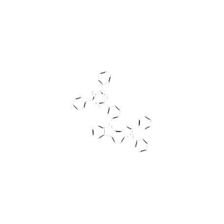 c1ccc(-c2nc(-c3ccccc3)nc(-c3cccc(-n4c5ccccc5c5ccc6c(cc(-c7ccccc7)n6-c6ccccc6)c54)c3)n2)cc1